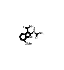 COc1cccc2c(C(N)=O)c(NC(N)=O)[nH]c12